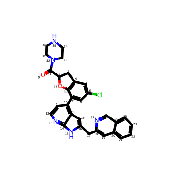 O=C(C1Cc2cc(Cl)cc(-c3ccnc4[nH]c(Cc5cc6ccccc6cn5)cc34)c2O1)N1CCNCC1